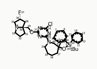 CC1(O[Si](c2ccccc2)(c2ccccc2)C(C)(C)C)CCCCN(c2nc(Cl)nc(OC[C@@]34CCCN3C[C@H](F)C4)n2)C1